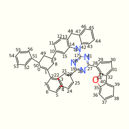 C1=C(c2ccccc2)C=C(c2ccc3c(c2)N(c2nc(-c4ccccc4)nc(-c4cccc5c4oc4ccccc45)n2)c2ccccc2C3)CC1c1ccccc1